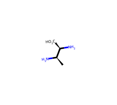 C[C@@H](N)[C@H](N)C(=O)O